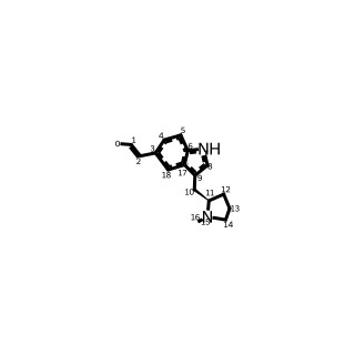 C/C=C/c1ccc2[nH]cc(C[C@H]3CCCN3C)c2c1